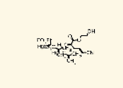 C=C(C)C(=O)O.C=C(C)C(=O)OCC.C=C(CC=CC#N)C(=O)OCCO.C=CC(=O)OCC